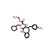 CCOC(=O)[C@H](CCC1CCCCC1)N[C@H]1C(=O)Nc2ccccc2CC1Cc1ccc(C)cc1